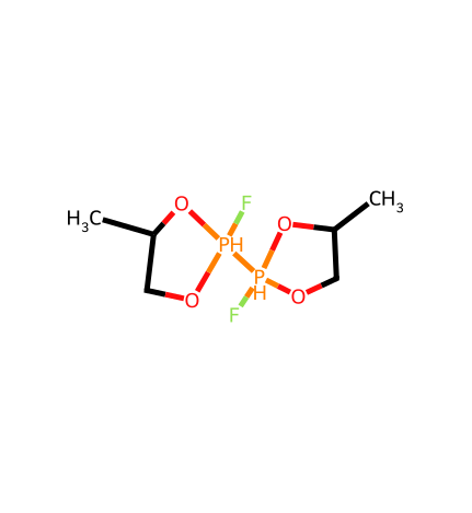 CC1CO[PH](F)([PH]2(F)OCC(C)O2)O1